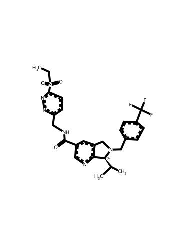 CCS(=O)(=O)c1ccc(CNC(=O)c2cnc3c(c2)CN(Cc2ccc(C(F)(F)F)cc2)[C@H]3C(C)C)nn1